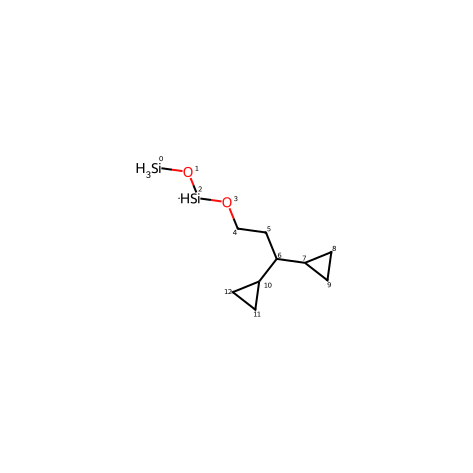 [SiH3]O[SiH]OCCC(C1CC1)C1CC1